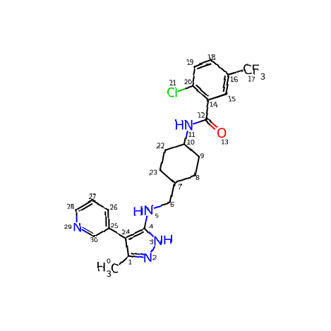 Cc1n[nH]c(NCC2CCC(NC(=O)c3cc(C(F)(F)F)ccc3Cl)CC2)c1-c1cccnc1